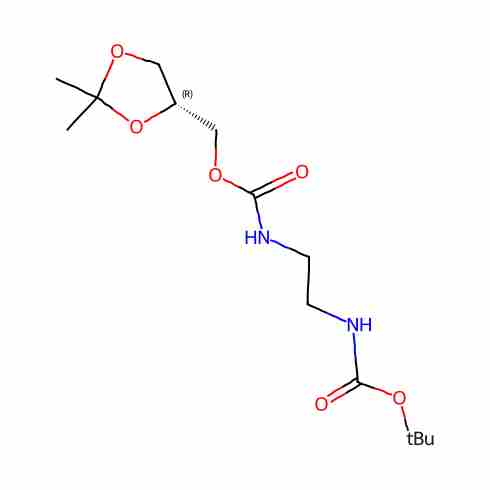 CC(C)(C)OC(=O)NCCNC(=O)OC[C@H]1COC(C)(C)O1